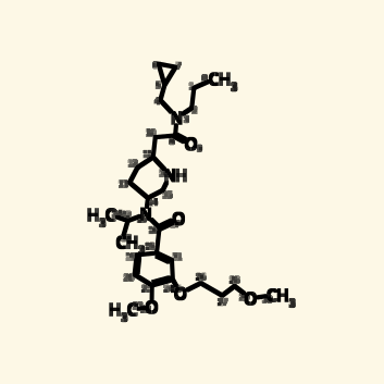 CCCN(CC1CC1)C(=O)CC1CCC(N(C(=O)c2ccc(OC)c(OCCCOC)c2)C(C)C)CN1